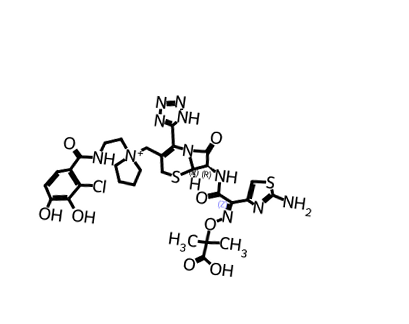 CC(C)(O/N=C(\C(=O)N[C@@H]1C(=O)N2C(c3nnn[nH]3)=C(C[N+]3(CCNC(=O)c4ccc(O)c(O)c4Cl)CCCC3)CS[C@H]12)c1csc(N)n1)C(=O)O